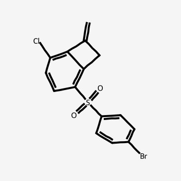 C=C1Cc2c(S(=O)(=O)c3ccc(Br)cc3)ccc(Cl)c21